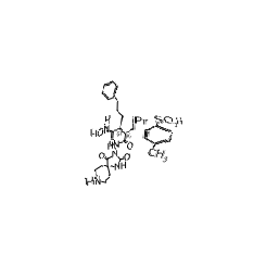 CC(C)C[C@@H](C(=O)NN1C(=O)NC2(CCNCC2)C1=O)[C@H](CCCc1ccccc1)C(=O)NO.Cc1ccc(S(=O)(=O)O)cc1